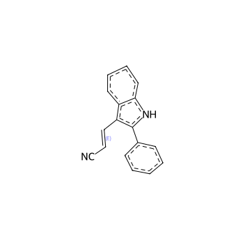 N#C/C=C/c1c(-c2ccccc2)[nH]c2ccccc12